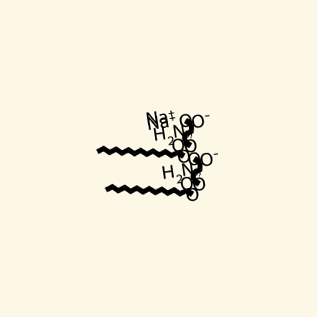 CCCCCCCCCCCCCC(=O)OC(=O)[C@@H](N)CC(=O)[O-].CCCCCCCCCCCCCC(=O)OC(=O)[C@@H](N)CC(=O)[O-].[Na+].[Na+]